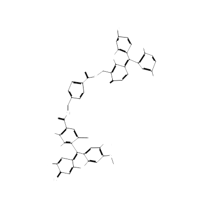 CCNc1cc2oc3cc(=N)c(C)cc-3c(-c3c(Cl)cc(C(=O)NCc4ccc(C(=O)NCc5c6oc7cc(O)ccc7c(-c7cc(C(=O)O)ccc7C(=O)O)c-6ccc5=O)cc4)c(Cl)c3C(=O)O)c2cc1C